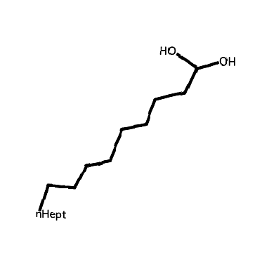 CCCCCCCCCCCCCCC[C](O)O